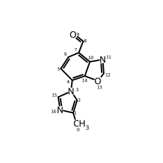 Cc1cn(-c2ccc(C=O)c3ncoc23)cn1